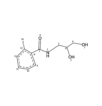 O=C(NCC(O)CO)c1ccccc1I